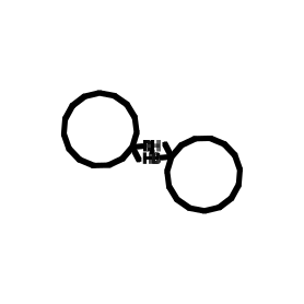 CC1(BBC2(C)CCCCCCCCCCCCCC2)CCCCCCCCCCCCCC1